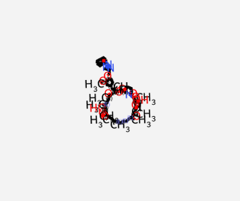 CO[C@H]1C[C@@H]2CC[C@@H](C)[C@@](O)(O2)C(=O)C(=O)N2CCCC[C@H]2C(=O)O[C@H]([C@H](C)C[C@@H]2CC[C@@H](OCc3cn(C45CC6CC(CC(C6)C4)C5)nn3)[C@H](OC)C2)CC(=O)[C@H](C)/C=C(\C)[C@@H](O)[C@@H](OC)C(=O)[C@H](C)C[C@H](C)/C=C/C=C/C=C/1C